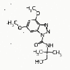 COc1cc(OC)c2nnn(C(=O)NC(C)(C)CO)c2c1